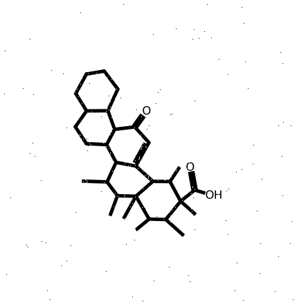 CC1C2C(=CC(=O)C3C4CCCCC4CCC23)C2C(C)C(C)(C(=O)O)C(C)C(C)C2(C)C1C